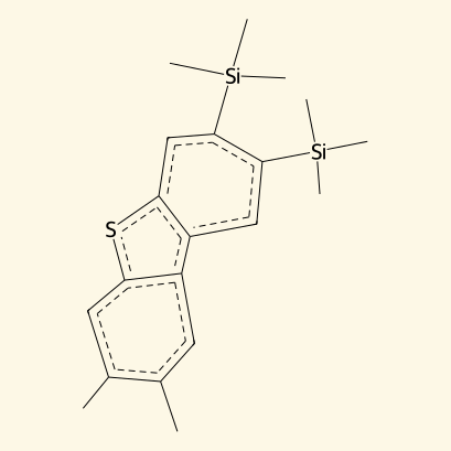 Cc1cc2sc3cc([Si](C)(C)C)c([Si](C)(C)C)cc3c2cc1C